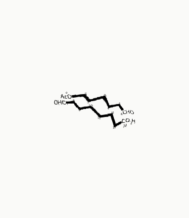 CC(=O)OCCCCCC=O.O=CCCCCCCC(=O)O